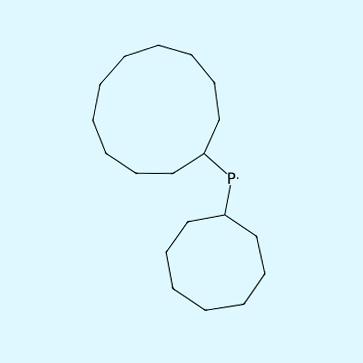 C1CCCCCC([P]C2CCCCCCC2)CCCC1